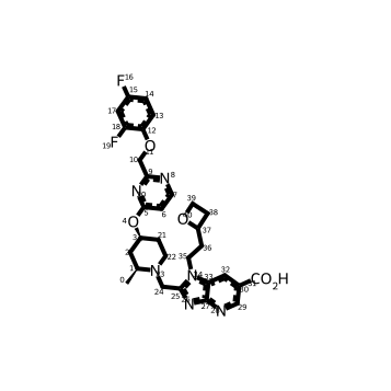 C[C@H]1C[C@@H](Oc2ccnc(COc3ccc(F)cc3F)n2)CCN1Cc1nc2ncc(C(=O)O)cc2n1CCC1CCO1